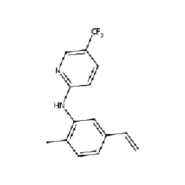 C=Cc1ccc(C)c(Nc2ccc(C(F)(F)F)cn2)c1